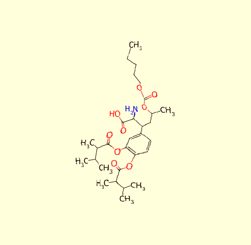 CCCCCOC(=O)OC(C)CC(c1ccc(OC(=O)C(C)C(C)C)c(OC(=O)C(C)C(C)C)c1)[C@H](N)C(=O)O